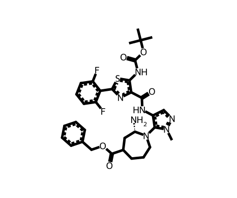 Cn1ncc(NC(=O)c2nc(-c3c(F)cccc3F)sc2NC(=O)OC(C)(C)C)c1N1CCCC(C(=O)OCc2ccccc2)C[C@@H]1N